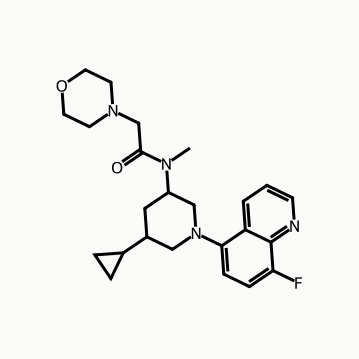 CN(C(=O)CN1CCOCC1)C1CC(C2CC2)CN(c2ccc(F)c3ncccc23)C1